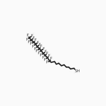 FC(F)(F)C(F)(F)C(F)(F)C(F)(F)C(F)(F)C(F)(F)C(F)(F)C(F)(F)C(F)(F)C(F)(F)C(F)(F)CCCCCCCCCCS